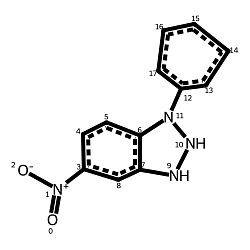 O=[N+]([O-])c1ccc2c(c1)NNN2c1ccccc1